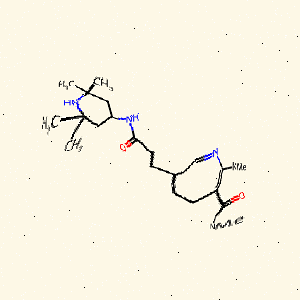 CNC(=O)C1=C(NC)N=CC(CCC(=O)NC2CC(C)(C)NC(C)(C)C2)CC1